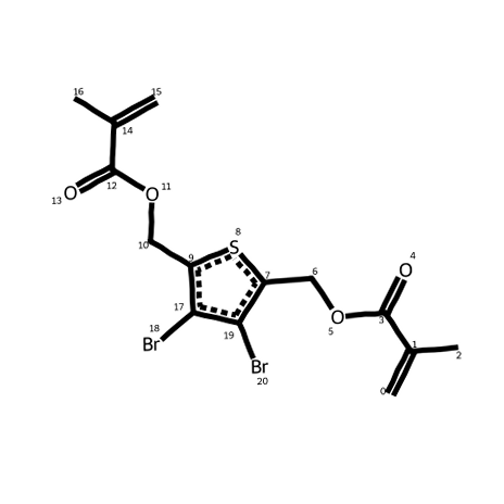 C=C(C)C(=O)OCc1sc(COC(=O)C(=C)C)c(Br)c1Br